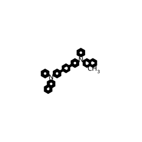 CC12C=CC=CC1=CC(N(c1ccccc1)c1ccc(C3C=CC(c4ccc(N(c5ccccc5)c5ccc6ccccc6c5)cc4)=CC3)cc1)=CC2